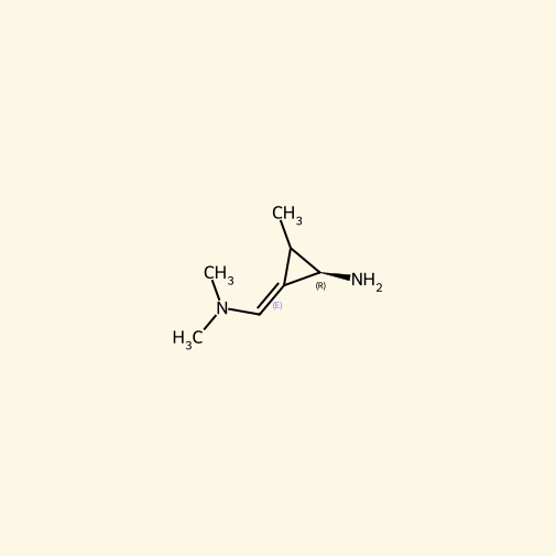 CC1/C(=C\N(C)C)[C@@H]1N